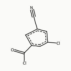 N#Cc1cc(Cl)cc(C(=O)Cl)c1